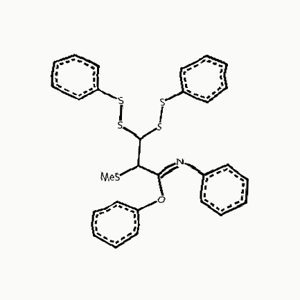 CSC(/C(=N/c1ccccc1)Oc1ccccc1)C(SSc1ccccc1)SSc1ccccc1